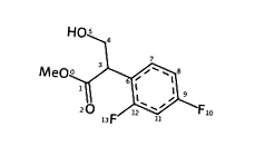 COC(=O)C(CO)c1ccc(F)cc1F